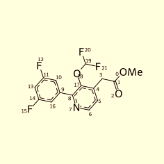 COC(=O)Cc1ccnc(-c2cc(F)cc(F)c2)c1OC(F)F